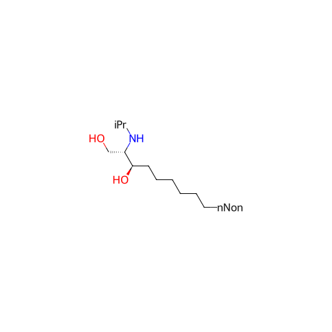 CCCCCCCCCCCCCCC[C@@H](O)[C@H](CO)NC(C)C